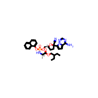 CCC(CC)COC(=O)[C@H](C)NP(=O)(OC[C@@H]1CCC(C#N)(c2ccc3c(N)ncnn23)O1)Oc1cccc2ccccc12